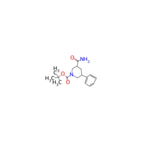 CC(C)(C)OC(=O)N1CC(C(N)=O)CC(c2ccccc2)C1